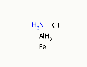 N.[AlH3].[Fe].[KH]